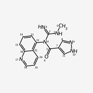 CNC(=N)N(C(=O)c1cn[nH]c1)c1cccc2ncccc12